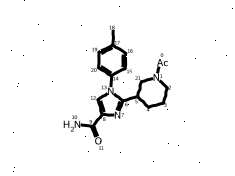 CC(=O)N1CCCC(c2nc(C(N)=O)cn2-c2ccc(C)cc2)C1